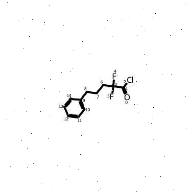 O=C(Cl)C(F)(F)CCCc1ccccc1